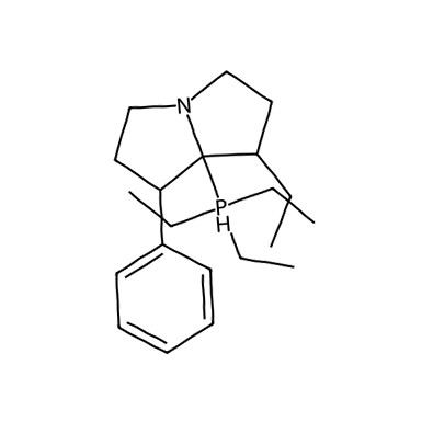 CCC1CCN2CCC(c3ccccc3)C12[PH](CC)(CC)CC